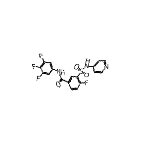 O=C(Nc1cc(F)c(F)c(F)c1)c1ccc(F)c(S(=O)(=O)Nc2ccncc2)c1